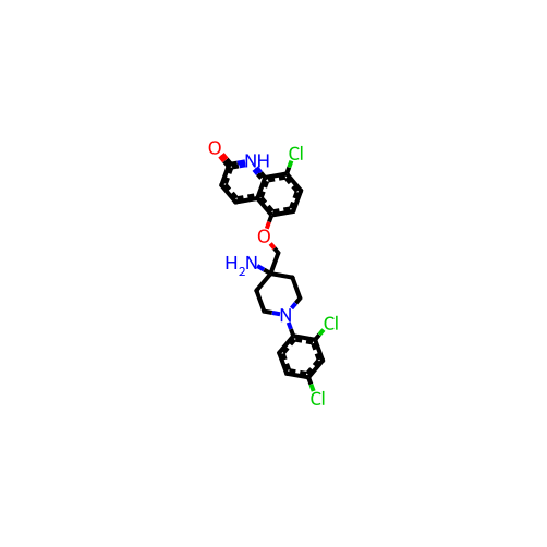 NC1(COc2ccc(Cl)c3[nH]c(=O)ccc23)CCN(c2ccc(Cl)cc2Cl)CC1